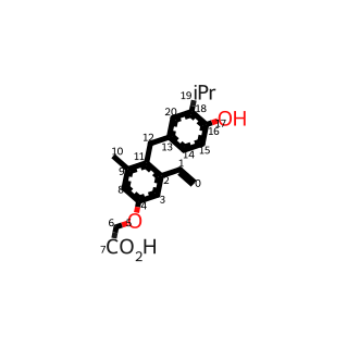 C=Cc1cc(OCC(=O)O)cc(C)c1Cc1ccc(O)c(C(C)C)c1